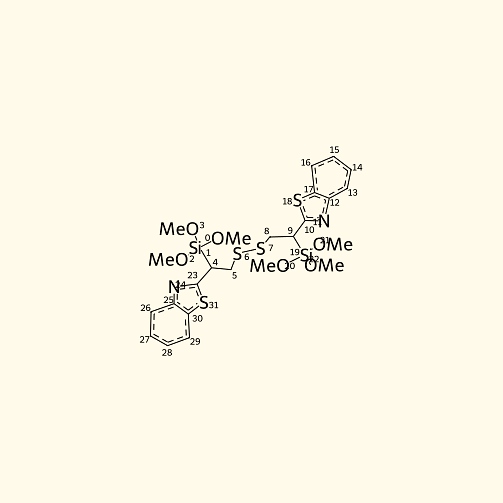 CO[Si](OC)(OC)C(CSSCC(c1nc2ccccc2s1)[Si](OC)(OC)OC)c1nc2ccccc2s1